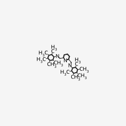 Cc1c(C)c(C)c(/N=C/c2cccc(/C=N/c3c(C)c(C)c(C)c(C)c3C)n2)c(C)c1C